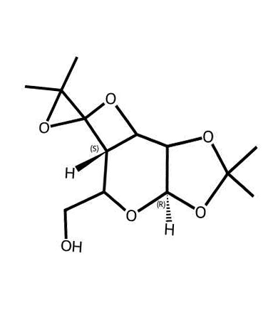 CC1(C)OC2C3OC4(OC4(C)C)[C@H]3C(CO)O[C@@H]2O1